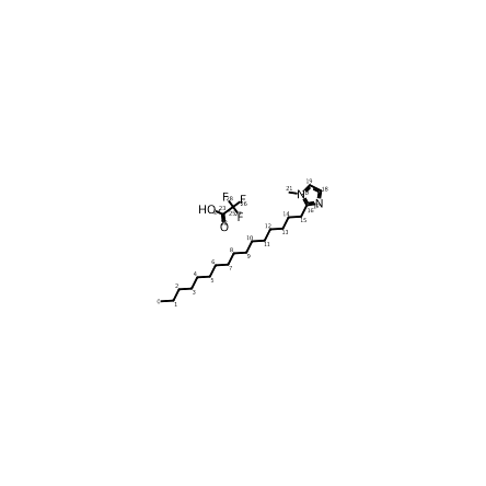 CCCCCCCCCCCCCCCCc1nccn1C.O=C(O)C(F)(F)F